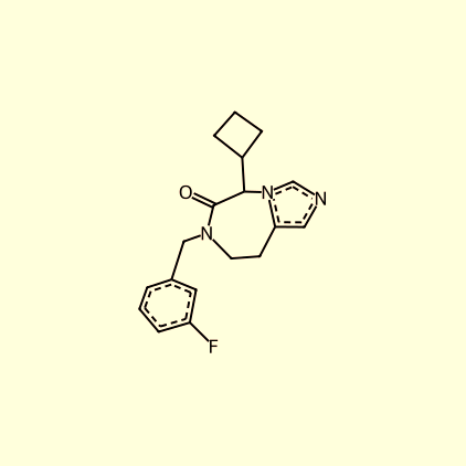 O=C1C(C2CCC2)n2cncc2CCN1Cc1cccc(F)c1